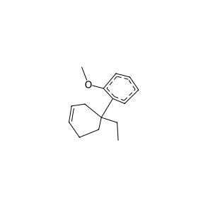 CCC1(c2ccccc2OC)CC=CCC1